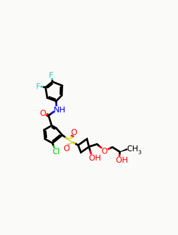 C[C@@H](O)COCC1(O)CC(S(=O)(=O)c2cc(C(=O)Nc3ccc(F)c(F)c3)ccc2Cl)C1